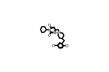 O=c1cc(CN2CCC(Cc3cc(Cl)ccc3Cl)CC2)[nH]c(=O)n1C1CCCCC1